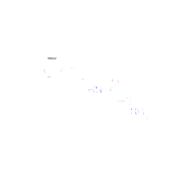 NOCC(=O)NCCCc1ccccc1